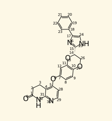 O=C1CCc2c(Oc3ccc4c(c3)O[C@H](c3nc(-c5ccccc5)c[nH]3)CO4)ccnc2N1